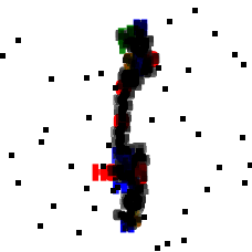 Cc1ncsc1-c1ccc(C(C)NC(=O)C2CC(O)CN2C(=O)C(C(C)C)n2cnc(CCCCOCCCCCOc3ccc(N4C(=S)N(c5ccc(C#N)c(C(F)(F)F)c5)C(=O)C4(C)C)cc3)c2)cc1